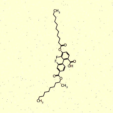 CCCCCCCCCCC(=O)Oc1ccc(C(=O)O)c(-c2ccc(C(=O)O[C@H](C)CCCCCCCC)cc2F)c1F